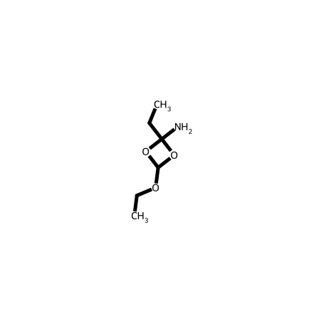 CCOC1OC(N)(CC)O1